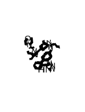 CCCc1nc2c(C)cc(-c3nc(CC)c(CC)n3CCN3CCOCC3)cc2n1Cc1ccc(-c2ccccc2-c2nnn[nH]2)cc1